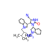 CC(C)C(CN)Cn1cc(-c2c(C#N)[nH]c(=O)n2-c2cn(C)c3ccccc23)c2ccccc21